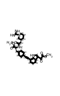 COC(=O)C(=O)c1c[nH]c2c(C#Cc3ccc(C[C@H](NC(=O)C[C@@H]4CCCN(C(=N)N)C4)C(=O)OC)cc3)cccc12